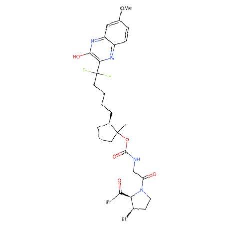 CC[C@@H]1CCN(C(=O)CNC(=O)OC2(C)CCC[C@H]2CCCCC(F)(F)c2nc3ccc(OC)cc3nc2O)[C@@H]1C(=O)C(C)C